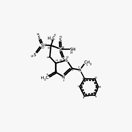 C=C1N=C(N(C)c2ccccc2)SC1CC(C)([SH](=S)=S)S(=S)(=S)S